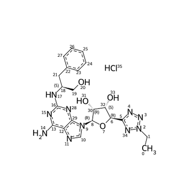 CCn1nnc([C@H]2O[C@@H](n3cnc4c(N)nc(N[C@H](CO)Cc5ccccc5)nc43)[C@H](O)[C@@H]2O)n1.Cl